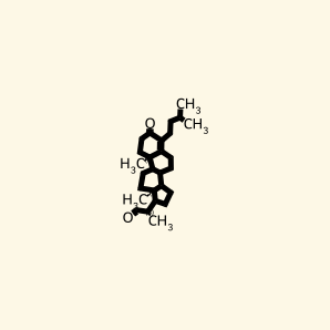 CC(C)CCC1=C2CCC3C4CCC([C@H](C)C=O)[C@@]4(C)CCC3[C@@]2(C)CCC1=O